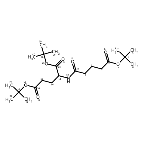 CC(C)(C)OC(=O)CCCC(=O)NC(CCC(=O)OC(C)(C)C)C(=O)OC(C)(C)C